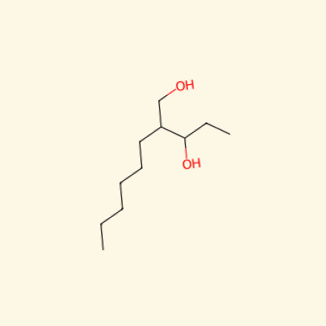 CCCCCCC(CO)C(O)CC